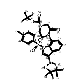 Cc1ccc(S(=O)(=O)n2cc(B3OC(C)(C)C(C)(C)O3)c3cccc(N4CCN(C(=O)OC(C)(C)C)CC4=O)c32)cc1